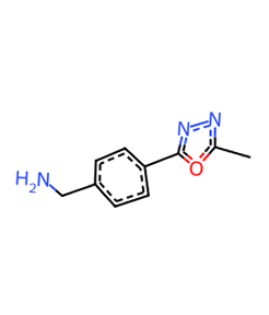 Cc1nnc(-c2ccc(CN)cc2)o1